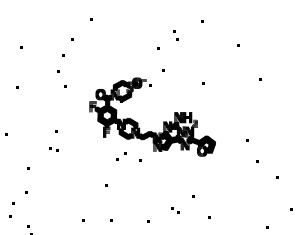 Nc1nc2c(cnn2CCN2CCN(c3cc(C(=O)N4CC[S+]([O-])CC4)c(F)cc3F)CC2)c2nc(-c3ccco3)nn12